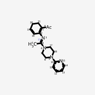 CC(=O)C1=C(/N=C(\C)N2CCN(c3ccccn3)CC2)C=CCC1